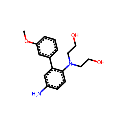 COc1cccc(-c2cc(N)ccc2N(CCO)CCO)c1